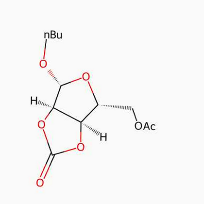 CCCCO[C@@H]1O[C@H](COC(C)=O)[C@H]2OC(=O)O[C@@H]12